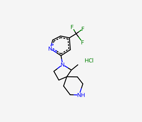 CC1N(c2cc(C(F)(F)F)ccn2)CCC12CCNCC2.Cl